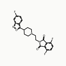 O=C1c2c(F)ccc(F)c2C(=O)N1CCN1CCC(c2onc3cc(F)ccc23)CC1